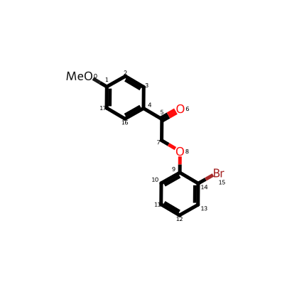 COc1ccc(C(=O)COc2ccccc2Br)cc1